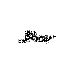 C#CCS(=O)(=O)N1CCN(c2ccc(-c3cc(OCC)cn4ncc(C#N)c34)cn2)CC1